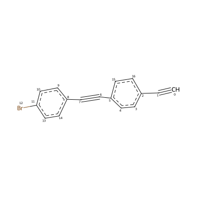 C#Cc1ccc(C#Cc2ccc(Br)cc2)cc1